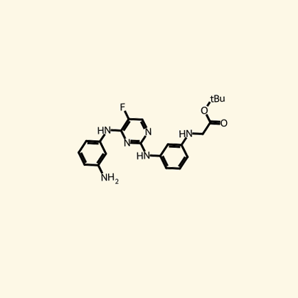 CC(C)(C)OC(=O)CNc1cccc(Nc2ncc(F)c(Nc3cccc(N)c3)n2)c1